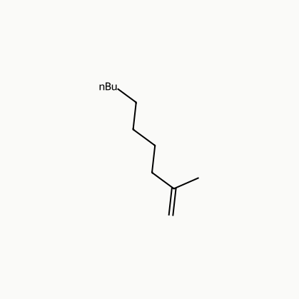 C=C(C)CCCCCCCC